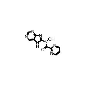 O=C(c1ncccn1)N(O)c1nc2ncncc2[nH]1